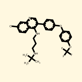 CC(C)(C)NCCCNc1c(-c2ccc(Oc3ccc(OC(F)(F)F)cc3)cc2)cnc2cc(Cl)ccc12